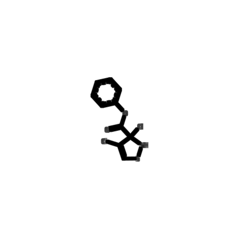 O=C(Oc1ccccc1)C1(Cl)NSC=C1Cl